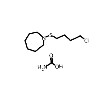 ClCCCCSN1CCCCCC1.NC(=O)O